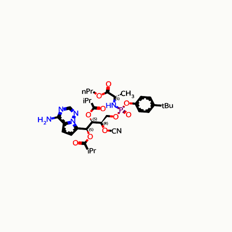 CCCOC(=O)[C@H](C)NP(=O)(OC[C@@H](OC#N)[C@@H](OC(=O)C(C)C)[C@@H](OC(=O)C(C)C)c1ccc2c(N)ncnn12)Oc1ccc(C(C)(C)C)cc1